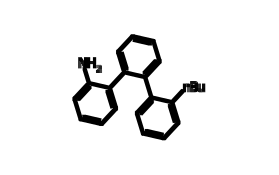 CCCCc1ccccc1-c1ccccc1-c1ccccc1N